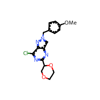 COc1ccc(Cn2cc3nc(C4COCCO4)nc(Cl)c3n2)cc1